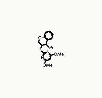 COc1cc(OC)nc(SC(CO)C(c2ccccc2)C(C)C)n1